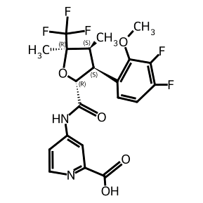 COc1c([C@H]2[C@H](C(=O)Nc3ccnc(C(=O)O)c3)O[C@@](C)(C(F)(F)F)[C@H]2C)ccc(F)c1F